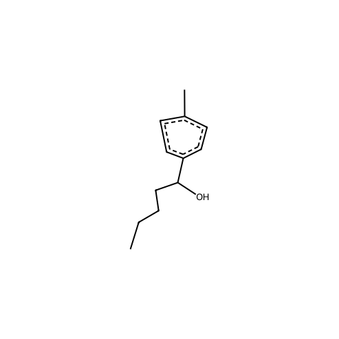 CCCCC(O)c1ccc(C)cc1